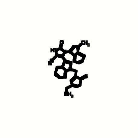 Cn1cc(-n2c(-c3cn(CC4=CC(CN)=CCC4=S)c4ccccc34)c(C#N)[nH]c2=O)c2ccccc21